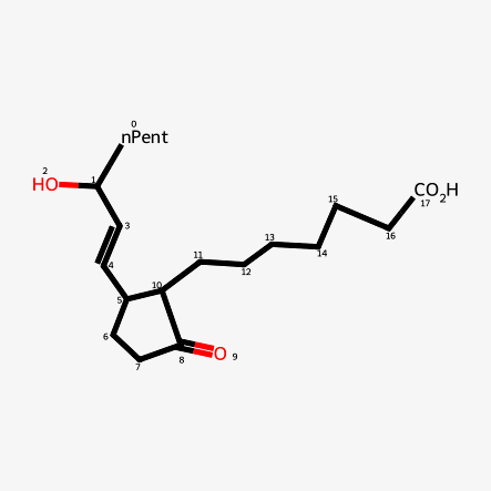 CCCCCC(O)C=CC1CCC(=O)C1CCCCCCC(=O)O